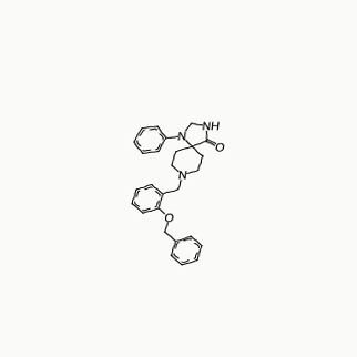 O=C1NCN(c2ccccc2)C12CCN(Cc1ccccc1OCc1ccccc1)CC2